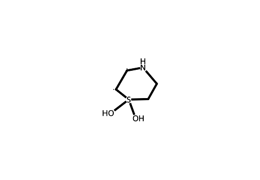 OS1(O)[CH][CH]NCC1